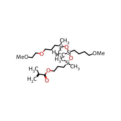 C=C(C)C(=O)OCCC[Si](C)(C)O[Si](C)(CCCCOC)O[Si](C)(C)CCCOCCOC